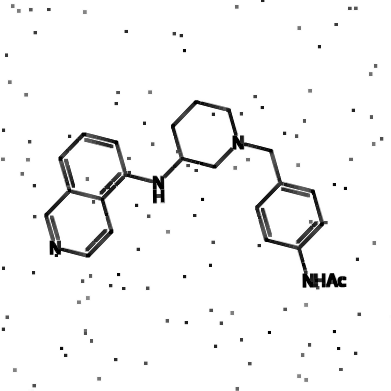 CC(=O)Nc1ccc(CN2CCCC(Nc3cccc4cnccc34)C2)cc1